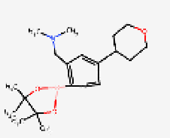 CN(C)Cc1cc(C2CCOCC2)ccc1B1OC(C)(C)C(C)(C)O1